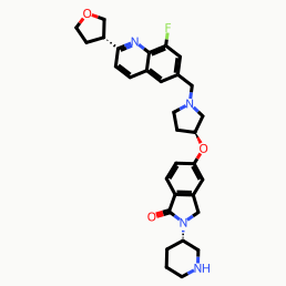 O=C1c2ccc(O[C@H]3CCN(Cc4cc(F)c5nc([C@@H]6CCOC6)ccc5c4)C3)cc2CN1[C@H]1CCCNC1